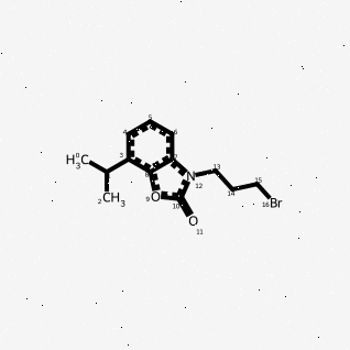 CC(C)c1cccc2c1oc(=O)n2CCCBr